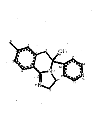 Cc1ccc2c(c1)CC(O)(c1ccncc1)N1CCN=C21